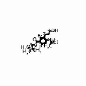 CC[C@@H](Nc1cc(F)c(C(=O)OC[Si](C)(C)C)c(F)c1CCCO)C(F)(F)F